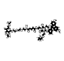 COc1ccc(C(OCCn2c(=O)n(CCOC(=O)CCCC(=O)NCCOCCOCCOC3OC(COC(C)=O)C(C)C(C)C3NC(C)=O)c(=O)n(CCO[Si](C)(C)C(C)(C)C)c2=O)(c2ccccc2)c2ccc(OC)cc2)cc1